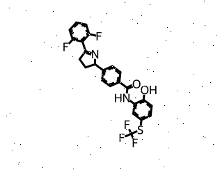 O=C(Nc1cc(SC(F)(F)F)ccc1O)c1ccc(C2CCC(c3c(F)cccc3F)=N2)cc1